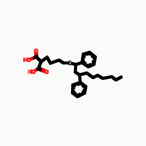 CCCCCCCC(CC(CCCCCC(C(=O)O)C(=O)O)c1ccccc1)c1ccccc1